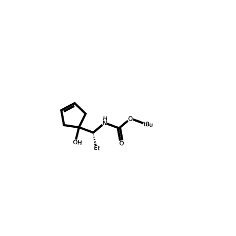 CC[C@@H](NC(=O)OC(C)(C)C)C1(O)CC=CC1